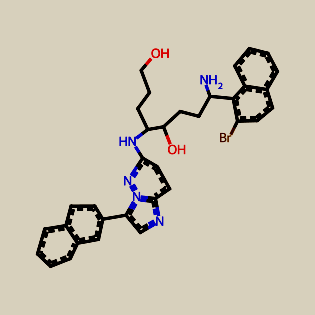 NC(CCC(O)C(CCCO)Nc1ccc2ncc(-c3ccc4ccccc4c3)n2n1)c1c(Br)ccc2ccccc12